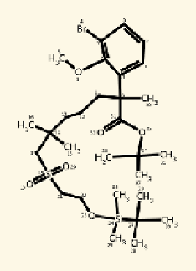 COc1c(Br)cccc1C(C)(CCCC(C)(C)CS(=O)(=O)CCO[Si](C)(C)C(C)(C)C)C(=O)OC(C)(C)C